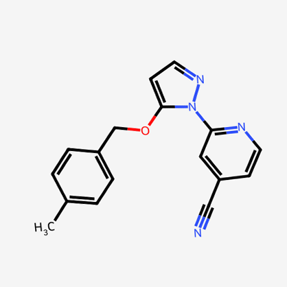 Cc1ccc(COc2ccnn2-c2cc(C#N)ccn2)cc1